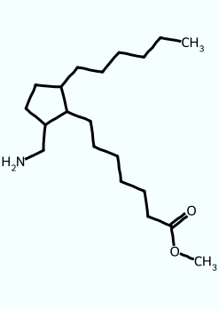 CCCCCCC1CCC(CN)C1CCCCCCC(=O)OC